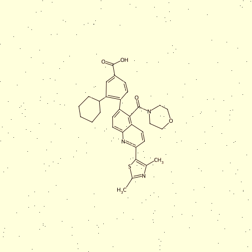 Cc1nc(C)c(-c2ccc3c(C(=O)N4CCOCC4)c(-c4ccc(C(=O)O)cc4C4CCCCC4)ccc3n2)s1